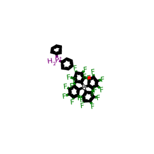 Fc1c(F)c(F)c([B-](c2c(F)c(F)c(F)c(F)c2F)(c2c(F)c(F)c(F)c(F)c2F)c2c(F)c(F)c(F)c(F)c2F)c(F)c1F.c1ccc([PH2+]c2ccccc2)cc1